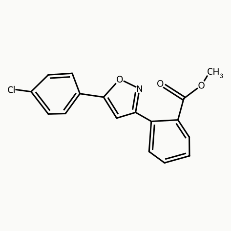 COC(=O)c1ccccc1-c1cc(-c2ccc(Cl)cc2)on1